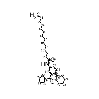 CCCCCCCCCCCCCC(=O)Nc1ccc(N2CCCCC2)c(C(=O)N2CCCC2)c1